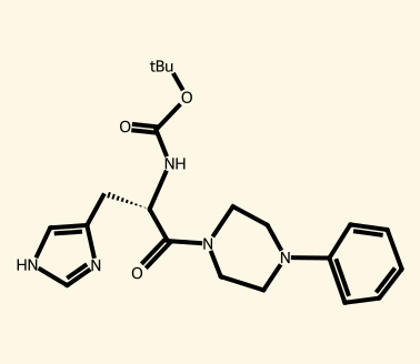 CC(C)(C)OC(=O)N[C@@H](Cc1c[nH]cn1)C(=O)N1CCN(c2ccccc2)CC1